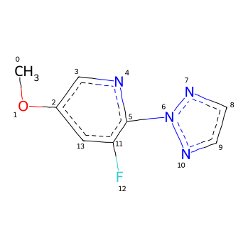 COc1cnc(-n2nccn2)c(F)c1